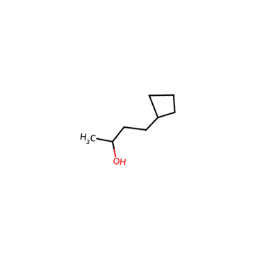 CC(O)CCC1CCC1